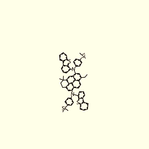 CCc1cc(N(c2ccc([Si](C)(C)C)cc2)c2cccc3c2sc2ccccc23)c2cc3c4c(cc(N(c5ccc([Si](C)(C)C)cc5)c5cccc6c5sc5ccccc56)c5ccc1c2c54)CCC3(C)C